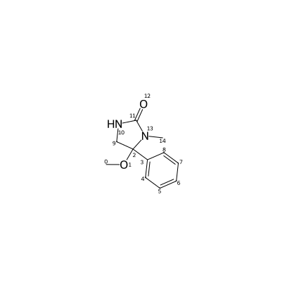 COC1(c2ccccc2)CNC(=O)N1C